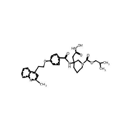 Cc1cc(CCOc2ccc(C(=O)NC3(CC(=O)NO)CCCN(C(=O)OCC(C)C)C3)cc2)c2ccccc2n1